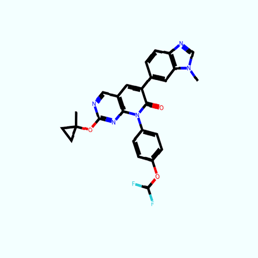 Cn1cnc2ccc(-c3cc4cnc(OC5(C)CC5)nc4n(-c4ccc(OC(F)F)cc4)c3=O)cc21